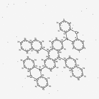 c1ccc2c(c1)Oc1ccccc1N2c1ccc2c(-c3ccc4ccccc4c3)c3cc(N4c5ccccc5Oc5ccccc54)ccc3c(-c3ccc4ccccc4c3)c2c1